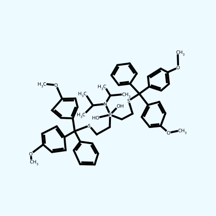 COc1ccc(C(SCCP(O)(O)(CCSC(c2ccccc2)(c2ccc(OC)cc2)c2ccc(OC)cc2)N(C(C)C)C(C)C)(c2ccccc2)c2ccc(OC)cc2)cc1